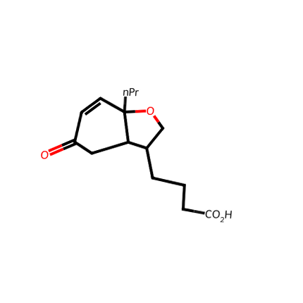 CCCC12C=CC(=O)CC1C(CCCC(=O)O)CO2